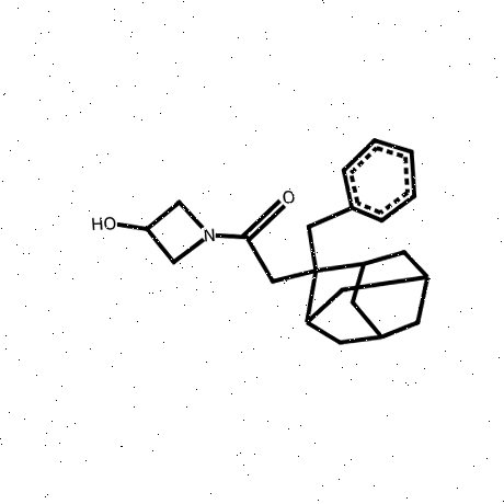 O=C(CC1(Cc2ccccc2)C2CC3CC(C2)CC1C3)N1CC(O)C1